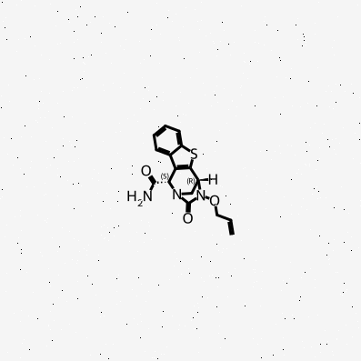 C=CCON1C(=O)N2C[C@@H]1c1sc3ccccc3c1[C@H]2C(N)=O